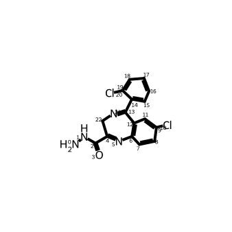 NNC(=O)C1=Nc2ccc(Cl)cc2C(c2ccccc2Cl)=NC1